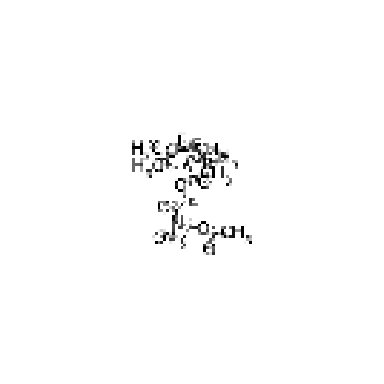 CC(=O)OC1CC(=O)N1C(=O)COC(=O)C(CC(C)(C)C)(C(C)(C)C)C(F)(F)F